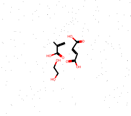 C=C(C)C(=O)O.O=C(O)C=CC(=O)O.OCCO